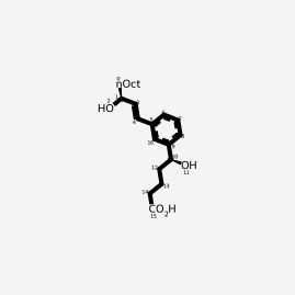 CCCCCCCC[C@H](O)/C=C/c1cccc([C@@H](O)CCCC(=O)O)c1